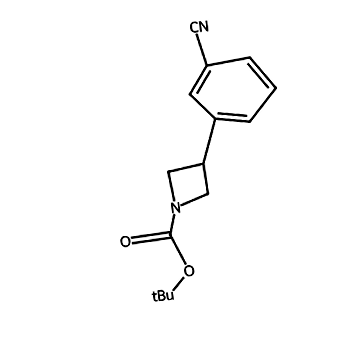 CC(C)(C)OC(=O)N1CC(c2cccc(C#N)c2)C1